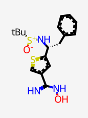 CC(C)(C)[S@+]([O-])N[C@H](Cc1ccccc1)c1cc(C(=N)NO)cs1